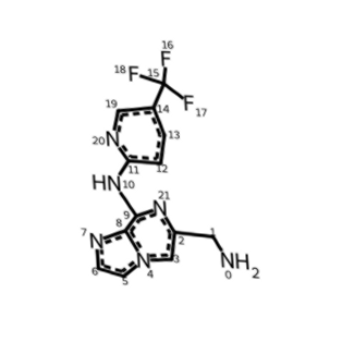 NCc1cn2ccnc2c(Nc2ccc(C(F)(F)F)cn2)n1